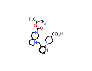 O=C(O)C1CCN(c2ncccc2CN2CCCC23CCN(C(=O)OC(C(F)(F)F)C(F)(F)F)CC3)CC1